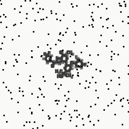 Cn1cc(-c2cc(C(C)(C)O)ccc2Oc2ccc(F)cc2F)c2cc(C(=O)N3CCC(F)(F)C3)sc2c1=O